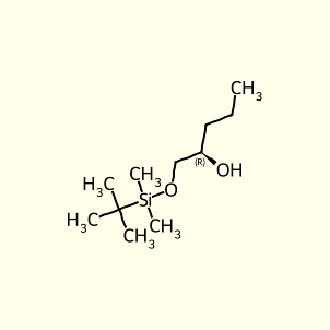 CCC[C@@H](O)CO[Si](C)(C)C(C)(C)C